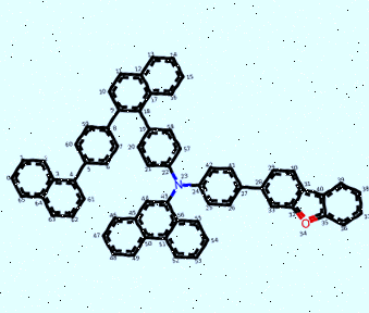 c1ccc2c(-c3ccc(-c4ccc5ccccc5c4-c4ccc(N(c5ccc(-c6ccc7c(c6)oc6ccccc67)cc5)c5cc6ccccc6c6ccccc56)cc4)cc3)cccc2c1